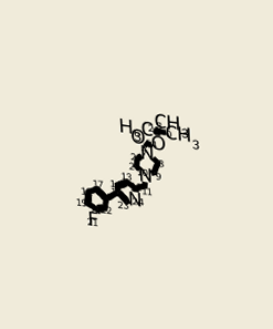 CC(C)(C)OC(=O)N1CCN(Cc2ccc(-c3cccc(F)c3)cn2)CC1